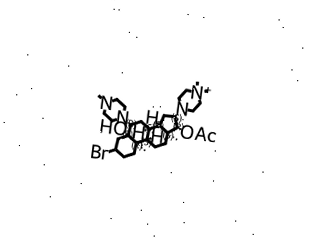 CC(=O)O[C@H]1[C@@H](N2CC[N+](C)(C)CC2)C[C@H]2[C@@H]3C[C@@H](N4CCN(C)CC4)[C@@]4(O)CC(Br)CC[C@]4(C)[C@H]3CC[C@@]21C